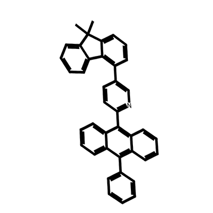 CC1(C)c2ccccc2-c2c(-c3ccc(-c4c5ccccc5c(-c5ccccc5)c5ccccc45)nc3)cccc21